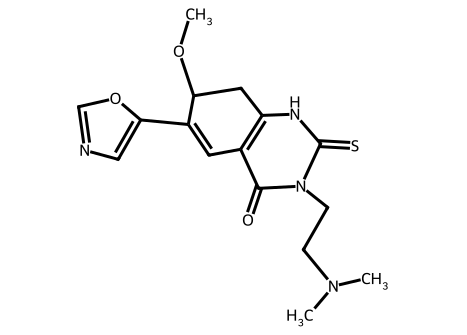 COC1Cc2[nH]c(=S)n(CCN(C)C)c(=O)c2C=C1c1cnco1